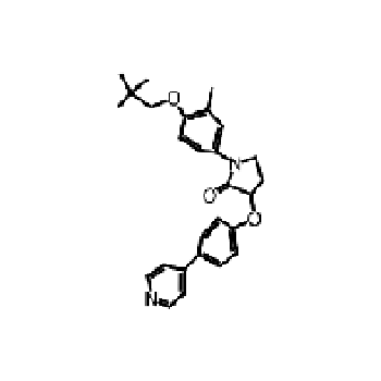 Cc1cc(N2CCC(Oc3ccc(-c4ccncc4)cc3)C2=O)ccc1OCC(C)(C)C